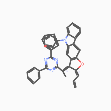 C=C/C=c1/oc2cc3c4ccccc4n(-c4ccccc4)c3cc2/c1=C(/C)c1nc(-c2ccccc2)nc(-c2ccccc2)n1